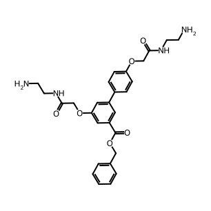 NCCNC(=O)COc1ccc(-c2cc(OCC(=O)NCCN)cc(C(=O)OCc3ccccc3)c2)cc1